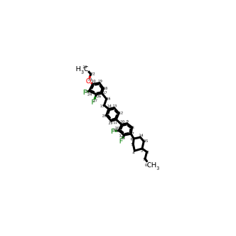 CCCC1CCC(c2ccc(-c3ccc(CCc4ccc(OCC)c(F)c4F)cc3)c(F)c2F)CC1